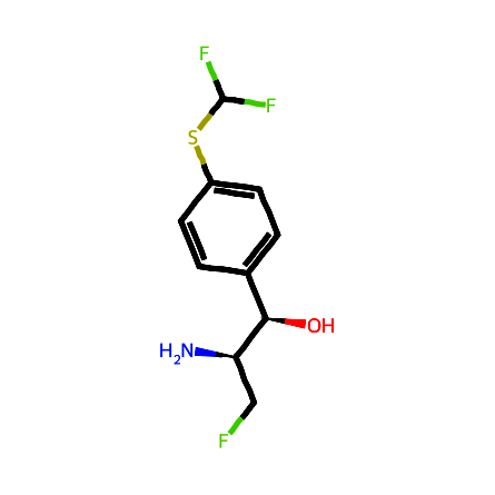 N[C@H](CF)[C@H](O)c1ccc(SC(F)F)cc1